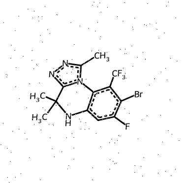 Cc1nnc2n1-c1c(cc(F)c(Br)c1C(F)(F)F)NC2(C)C